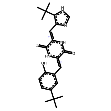 CC(C)(C)c1ccc(O)c(/C=c2\[nH]c(=O)/c(=C/c3nc[nH]c3C(C)(C)C)[nH]c2=O)c1